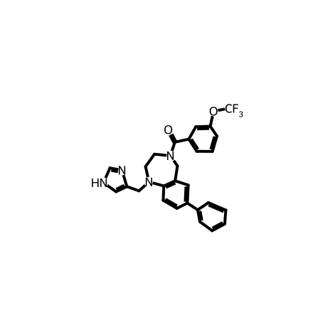 O=C(c1cccc(OC(F)(F)F)c1)N1CCN(Cc2c[nH]cn2)c2ccc(-c3ccccc3)cc2C1